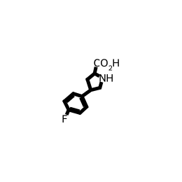 O=C(O)C1CC(c2ccc(F)cc2)CN1